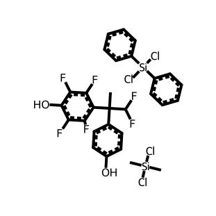 CC(c1ccc(O)cc1)(c1c(F)c(F)c(O)c(F)c1F)C(F)F.C[Si](C)(Cl)Cl.Cl[Si](Cl)(c1ccccc1)c1ccccc1